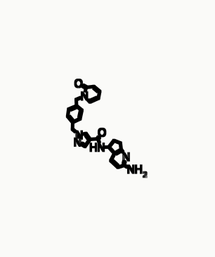 Nc1ccc2c(n1)CCC2NC(=O)c1cnn(Cc2ccc(Cn3ccccc3=O)cc2)c1